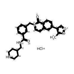 Cc1nocc1-c1ccc2c(=O)n(Cc3cccc(C(=O)NCC4CCNCC4)c3)ccc2c1.Cl